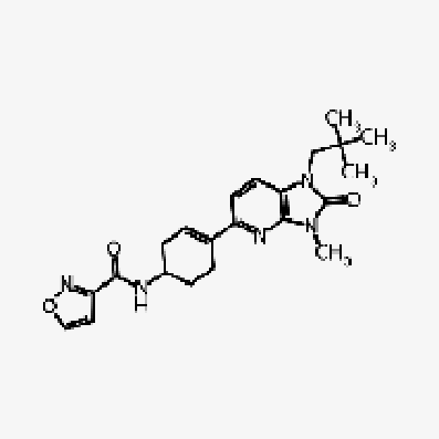 Cn1c(=O)n(CC(C)(C)C)c2ccc(C3=CCC(NC(=O)c4ccon4)CC3)nc21